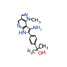 Cn1ncc2cnc3[nH]c(-c4ccc(C(C)(C)O)cc4)c(N)c3c21